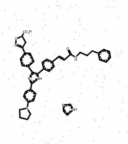 O=C(/C=C/c1ccc(-c2[nH]c(-c3ccc(N4CCCC4)cc3)nc2-c2ccc(C3=NOC(C(=O)O)C3)cc2)cc1)NCCCc1ccccc1.c1c[nH]cn1